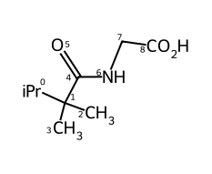 CC(C)C(C)(C)C(=O)NCC(=O)O